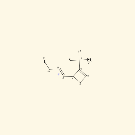 CCC(C)(C)C1=CCC1/C=C/CI